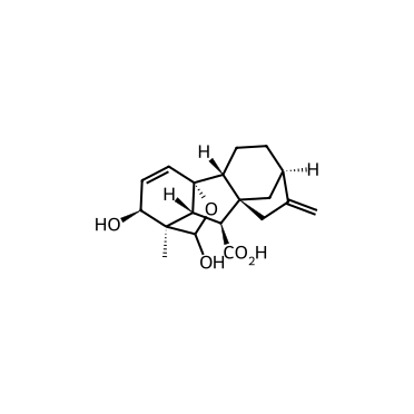 C=C1C[C@]23C[C@H]1CC[C@H]2[C@@]12C=C[C@H](O)[C@](C)(C(O)O1)[C@H]2[C@@H]3C(=O)O